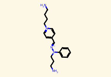 NCCCC[n+]1ccc(/C=N/N(CCCN)c2ccccc2)cc1